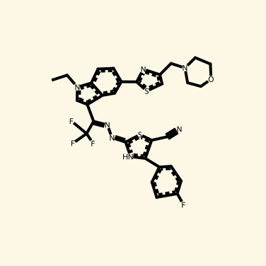 CCn1cc(C(=N/N=c2/[nH]c(-c3ccc(F)cc3)c(C#N)s2)C(F)(F)F)c2cc(-c3nc(CN4CCOCC4)cs3)ccc21